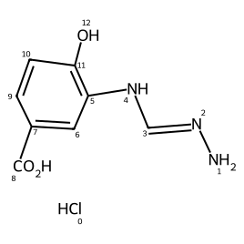 Cl.NN=CNc1cc(C(=O)O)ccc1O